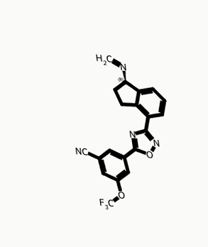 C=N[C@@H]1CCc2c(-c3noc(-c4cc(C#N)cc(OC(F)(F)F)c4)n3)cccc21